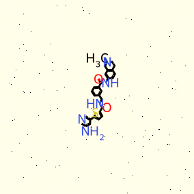 CN1CCc2ccc(NC(=O)c3cccc(CNC(=O)c4ccc(-c5cncc(N)c5)s4)c3)cc2C1